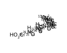 [13CH3][15N]1CC[15N]([13CH2][13CH]2[13CH2][13CH2][13CH2][15N]2[13CH2]C(=O)NC[13CH2][13C](=O)NCCC(=O)NCCCC(=O)O)[13CH2][13CH2]1